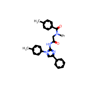 Cc1ccc(C(=O)N(CC(=O)Nc2nc(-c3ccccc3)cn2-c2ccc(C)cc2)C(C)C)cc1